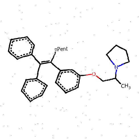 CCCCCC(=C(c1cc[c]cc1)c1cc[c]cc1)c1cccc(OCC(C)N2CCCC2)c1